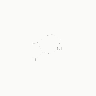 [CH2]CC1CNCCCN1